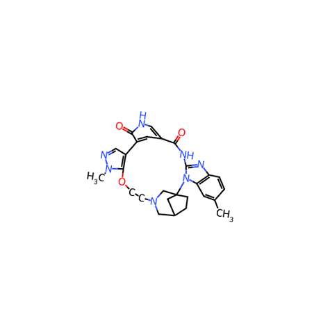 Cc1ccc2nc3n(c2c1)C12CCC(CN(CCOc4c(cnn4C)-c4cc(c[nH]c4=O)C(=O)N3)C1)C2